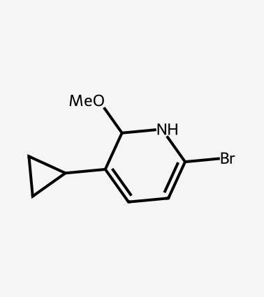 COC1NC(Br)=CC=C1C1CC1